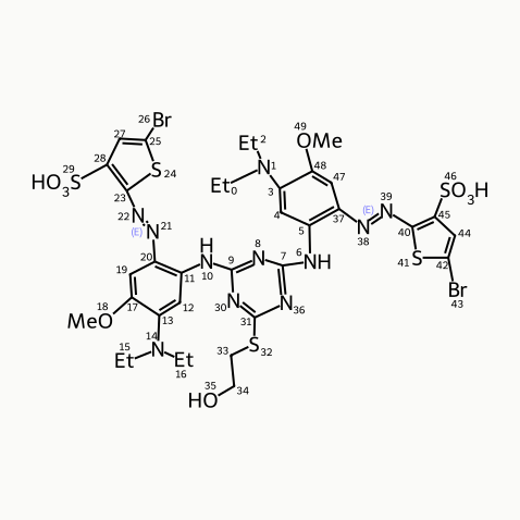 CCN(CC)c1cc(Nc2nc(Nc3cc(N(CC)CC)c(OC)cc3/N=N/c3sc(Br)cc3S(=O)(=O)O)nc(SCCO)n2)c(/N=N/c2sc(Br)cc2S(=O)(=O)O)cc1OC